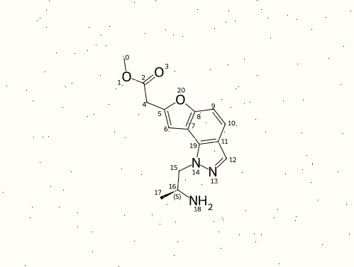 COC(=O)Cc1cc2c(ccc3cnn(C[C@H](C)N)c32)o1